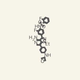 CCn1nc(-c2ccc(NS(=O)(=O)c3ccccc3F)c(F)c2)c2c(N)ncc(C3=CC[C@@H](NC4COC4)CC3)c21